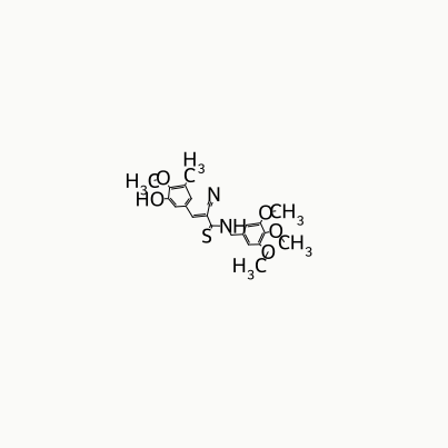 COc1cc(CNC(=S)/C(C#N)=C/c2cc(C)c(OC)c(O)c2)cc(OC)c1OC